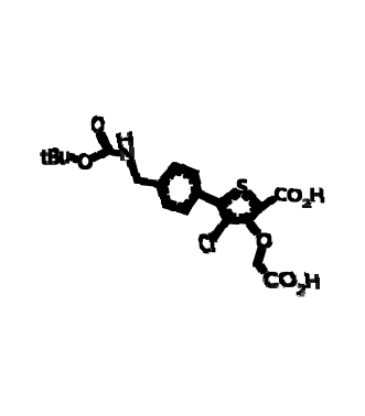 CC(C)(C)OC(=O)NCc1ccc(-c2sc(C(=O)O)c(OCC(=O)O)c2Cl)cc1